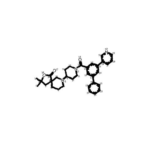 CC1(C)CC2(CCCN(C3CCN(C(=O)c4cc(-c5ccccc5)cc(-c5cccnc5)c4)CC3)C2)C(=O)O1